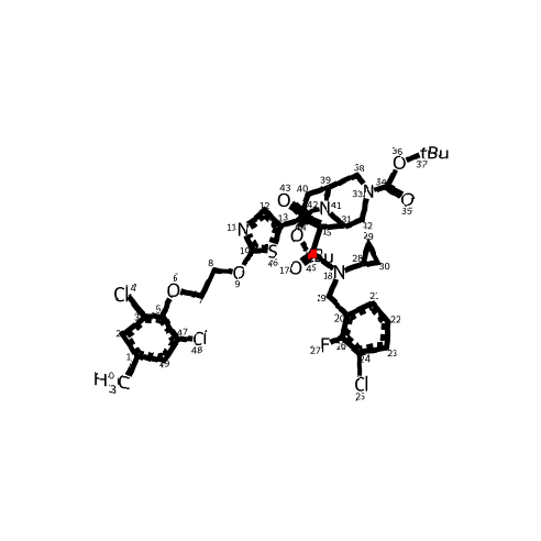 Cc1cc(Cl)c(OCCOc2ncc(C3=C(C(=O)N(Cc4cccc(Cl)c4F)C4CC4)C4CN(C(=O)OC(C)(C)C)CC(C3)N4C(=O)OC(C)(C)C)s2)c(Cl)c1